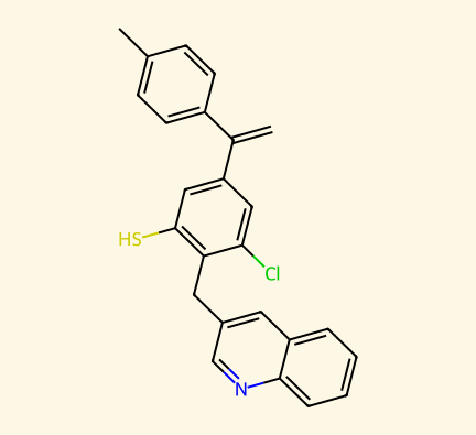 C=C(c1ccc(C)cc1)c1cc(S)c(Cc2cnc3ccccc3c2)c(Cl)c1